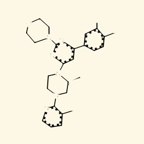 C[C@H]1CN(c2ncccc2Cl)CCN1c1cc(-c2ccc(F)c(F)c2)nc(N2CCOCC2)n1